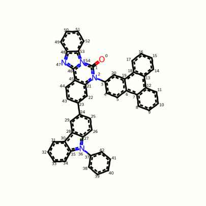 O=c1n(-c2ccc3c4ccccc4c4ccccc4c3c2)c2cc(-c3ccc4c(c3)c3ccccc3n4-c3ccccc3)ccc2c2nc3ccccc3n12